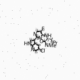 CNC(=O)[C@H](CC(C)C)Nc1nc(-c2c[nH]c3ncc(Cl)cc23)ncc1F